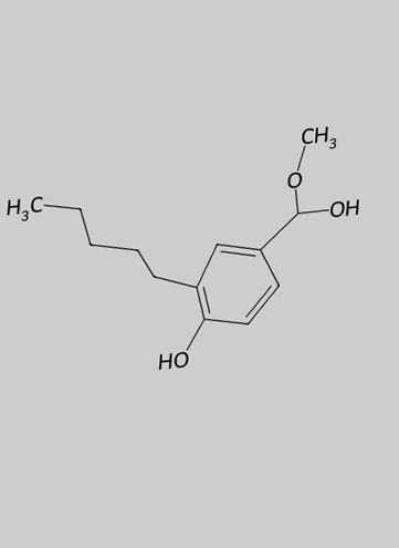 CCCCCc1cc(C(O)OC)ccc1O